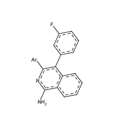 CC(=O)c1nc(N)c2ccccc2c1-c1cccc(F)c1